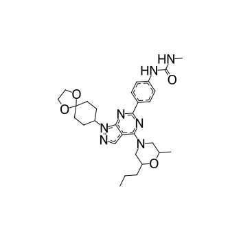 CCCC1CN(c2nc(-c3ccc(NC(=O)NC)cc3)nc3c2cnn3C2CCC3(CC2)OCCO3)CC(C)O1